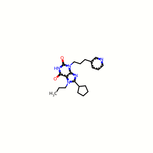 CCCn1c(C2CCCC2)nc2c1c(=O)[nH]c(=O)n2CCCc1cccnc1